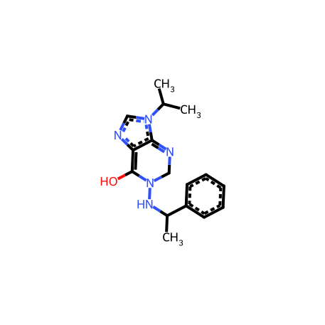 CC(NN1CN=c2c(ncn2C(C)C)=C1O)c1ccccc1